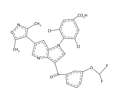 Cc1noc(C)c1-c1cnc2c(C(=O)c3cccc(OC(F)F)c3)cn(-c3c(Cl)cc(C(=O)O)cc3Cl)c2c1